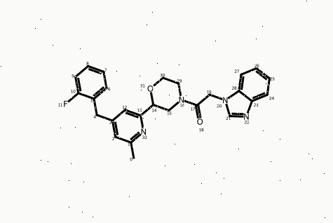 Cc1cc(Cc2ccccc2F)cc(C2CN(C(=O)Cn3cnc4ccccc43)CCO2)n1